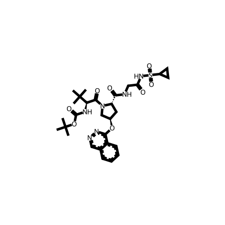 CC(C)(C)OC(=O)N[C@H](C(=O)N1C[C@H](Oc2nncc3ccccc23)C[C@H]1C(=O)NCC(=O)NS(=O)(=O)C1CC1)C(C)(C)C